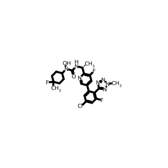 C[C@@H](NC(=O)N(O)C1CCC(C)(F)CC1)c1ncc(-c2cc(Cl)cc(F)c2-c2nnn(C)n2)cc1F